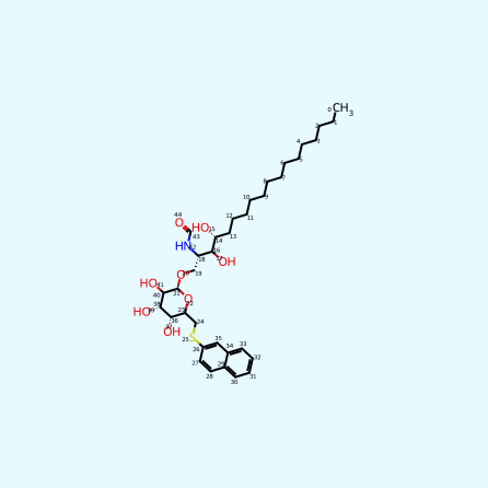 CCCCCCCCCCCCCC[C@@H](O)C(O)[C@H](CO[C@H]1OC(CSc2ccc3ccccc3c2)[C@H](O)[C@H](O)C1O)NC=O